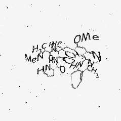 CN[C@@H](C)C(=O)N[C@H](C(=O)NC(=O)[C@@H]1CCCN1)C(C)(C)Cc1cc2c(Nc3ccccc3C)ncnc2cc1OC